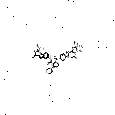 CC(C)(C)OC(=O)N[C@H](CCF)[C@H]1CC[C@H](C(=O)N2CC[C@@H](N3CCCCC3)[C@H]2C(=O)Nc2ccc3c(c2)cc2n3C(C)(C)OC2=O)CC1